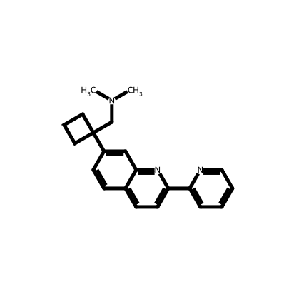 CN(C)CC1(c2ccc3ccc(-c4ccccn4)nc3c2)C[CH]C1